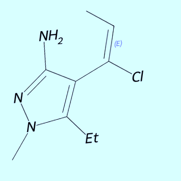 C/C=C(/Cl)c1c(N)nn(C)c1CC